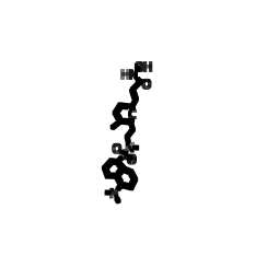 Cc1ccc(/C=C/C(=O)NO)cc1CCN(C)S(=O)(=O)c1cccc2c(N(C)C)cccc12